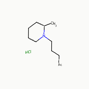 CC(=O)CCCN1CCCCC1C.Cl